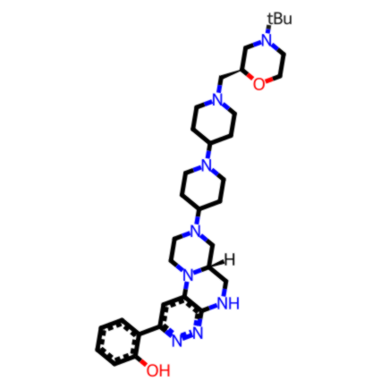 CC(C)(C)N1CCO[C@@H](CN2CCC(N3CCC(N4CCN5c6cc(-c7ccccc7O)nnc6NC[C@H]5C4)CC3)CC2)C1